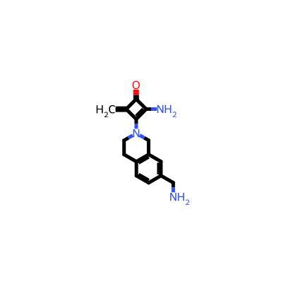 C=C1C(=O)C(N)=C1N1CCc2ccc(CN)cc2C1